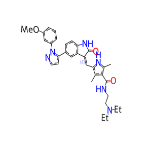 CCN(CC)CCNC(=O)c1c(C)[nH]c(/C=C2\C(=O)Nc3ccc(-c4ccnn4-c4cccc(OC)c4)cc32)c1C